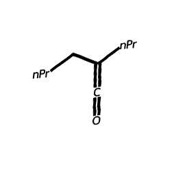 CCCCC(=C=O)CCC